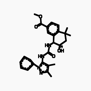 COC(=O)c1ccc2c(c1)C(NC(=O)Nc1c(C)c(C)nn1-c1ccccc1)[C@H](O)CC2(C)C